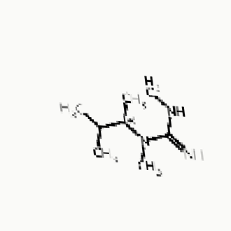 CNC(=N)N(C)[C@H](C)C(C)C